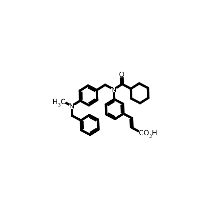 CN(Cc1ccccc1)c1ccc(CN(C(=O)C2CCCCC2)c2cccc(C=CC(=O)O)c2)cc1